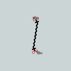 CC(C)(C)OC(=O)C(C)(C)CCCCCC/C=C/CCCCCCC(C)(C)C(=O)OC(C)(C)C